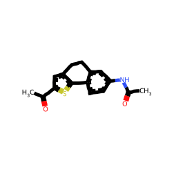 CC(=O)Nc1ccc2c(c1)CCc1cc(C(C)=O)sc1-2